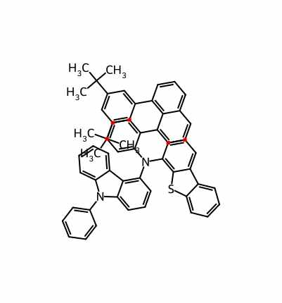 CC(C)(C)c1cc(-c2cccc3cccc(-c4ccccc4N(c4cccc5c4sc4ccccc45)c4cccc5c4c4ccccc4n5-c4ccccc4)c23)cc(C(C)(C)C)c1